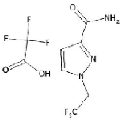 NC(=O)c1ccn(CC(F)(F)F)n1.O=C(O)C(F)(F)F